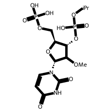 COC1[C@@H](OP(=O)(O)OC(C)C)[C@H](COP(=O)(O)O)O[C@H]1n1ccc(=O)[nH]c1=O